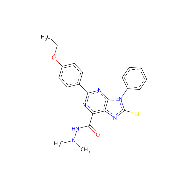 CCOc1ccc(-c2nc(C(=O)NN(C)C)c3nc(S)n(-c4ccccc4)c3n2)cc1